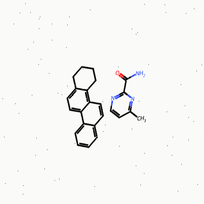 Cc1ccnc(C(N)=O)n1.c1ccc2c(c1)ccc1c3c(ccc12)CCCC3